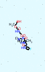 CCN(CC)CCN(C(=O)OCCCNC(=O)CCOC(C)CCO)C(=O)c1c(C)[nH]c(/C=C2\C(=O)Nc3ccc(F)cc32)c1C